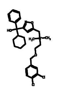 C[N+](C)(CCOCc1ccc(Cl)c(Cl)c1)Cc1cc(C(O)(c2ccccc2)C2CCCCC2)no1